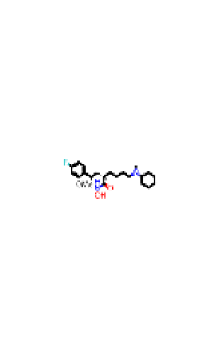 CO[C@H](C[C@H](CCCCN(C)C1CCCCC1)C(=O)NO)c1ccc(F)cc1